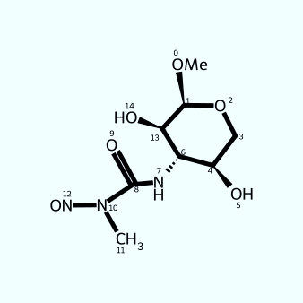 CO[C@H]1OC[C@@H](O)[C@H](NC(=O)N(C)N=O)[C@H]1O